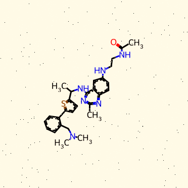 CC(=O)NCCNc1ccc2nc(C)nc(NC(C)c3ccc(-c4ccccc4CN(C)C)s3)c2c1